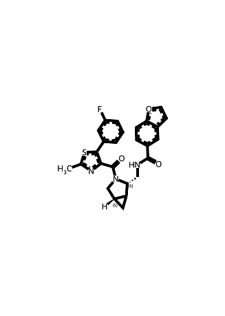 Cc1nc(C(=O)N2C[C@H]3CC3[C@H]2CNC(=O)c2ccc3occc3c2)c(-c2cccc(F)c2)s1